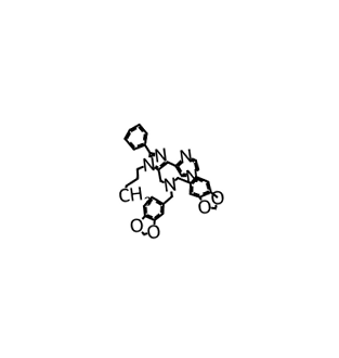 CCCCn1c(-c2ccccc2)nc(-c2cnccn2)c1CN(Cc1ccc2c(c1)OCO2)Cc1ccc2c(c1)OCO2